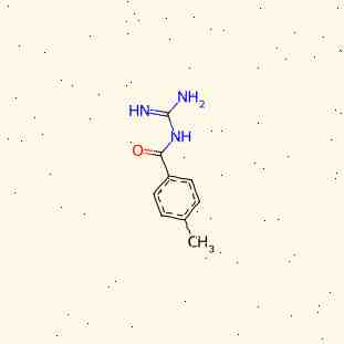 Cc1ccc(C(=O)NC(=N)N)cc1